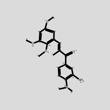 COc1cc(/C=C(\C)C(=O)c2ccc(N(C)C)c(N)c2)c(OC)c(OC)c1